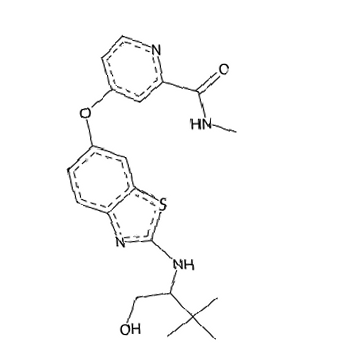 CNC(=O)c1cc(Oc2ccc3nc(NC(CO)C(C)(C)C)sc3c2)ccn1